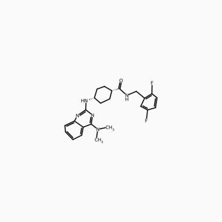 CN(C)c1nc(N[C@H]2CC[C@@H](C(=O)NCc3cc(F)ccc3F)CC2)nc2ccccc12